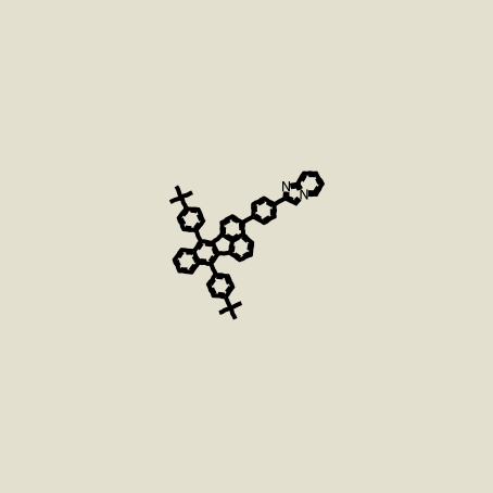 CC(C)(C)c1ccc(-c2c3c(c(-c4ccc(C(C)(C)C)cc4)c4ccccc24)-c2ccc(-c4ccc(-c5cn6ccccc6n5)cc4)c4cccc-3c24)cc1